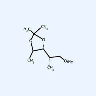 COC[C@H](C)[C@H]1OC(C)(C)OC1C